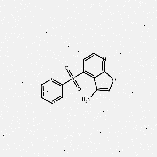 Nc1coc2nccc(S(=O)(=O)c3ccccc3)c12